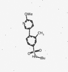 COc1ccc(-c2ccc(S(=O)(=O)NC(C)(C)C)cc2C)cn1